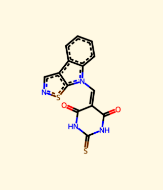 O=C1NC(=S)NC(=O)C1=Cn1c2ccccc2c2cnsc21